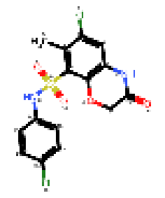 Cc1c(Cl)cc2c(c1S(=O)(=O)Nc1ccc(Cl)cc1)OCC(=O)N2